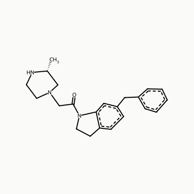 C[C@@H]1CN(CC(=O)N2CCc3ccc(Cc4ccccc4)cc32)CCN1